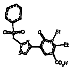 CCc1c(C(=O)O)cc(-c2csc(CS(=O)(=O)c3ccccc3)n2)c(=O)n1CC